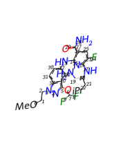 COCCn1nc(OC(F)F)c2cc(Nc3nc(N[C@@H](CN)CC(C)C)c(F)cc3C(N)=O)ccc21